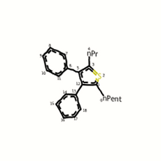 CCCCCc1sc(CCC)c(-c2ccccc2)c1-c1ccccc1